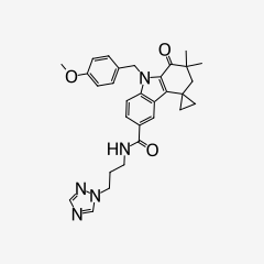 COc1ccc(Cn2c3c(c4cc(C(=O)NCCCn5cncn5)ccc42)C2(CC2)CC(C)(C)C3=O)cc1